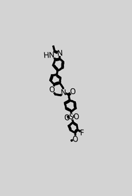 COc1ccc(S(=O)(=O)c2ccc(C(=O)N3CCOc4ccc(-c5ccc6nc(C)[nH]c6c5)cc4C3)cc2)cc1F